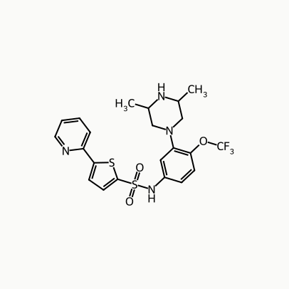 CC1CN(c2cc(NS(=O)(=O)c3ccc(-c4ccccn4)s3)ccc2OC(F)(F)F)CC(C)N1